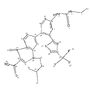 CCNC(=O)Nc1cc(-c2nc(C(F)(F)F)cs2)c(-c2ccc3c(=O)c(C(=O)O)cn(CCC(C)C)c3c2)cn1